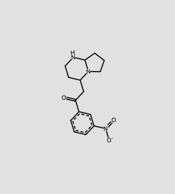 O=C(CC1CCNC2CCCN12)c1cccc([N+](=O)[O-])c1